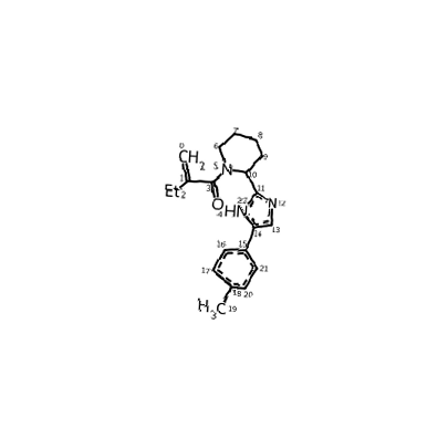 C=C(CC)C(=O)N1CCCCC1c1ncc(-c2ccc(C)cc2)[nH]1